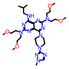 COCCN(CCOC)c1nc(N2CCN(c3ncn(C)n3)CC2)c2nc(N(CCOC)CCOC)nc(NCC(C)C)c2n1